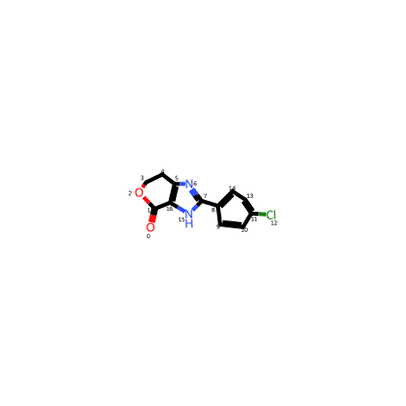 O=C1OCCc2nc(-c3ccc(Cl)cc3)[nH]c21